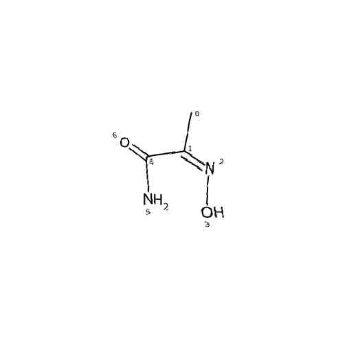 CC(=NO)C(N)=O